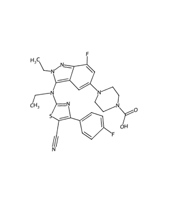 CCN(c1nc(-c2ccc(F)cc2)c(C#N)s1)c1c2cc(N3CCN(C(=O)O)CC3)cc(F)c2nn1CC